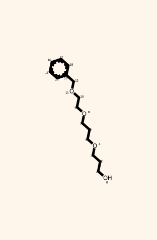 OCCCOCCCOCCOCc1ccccc1